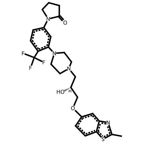 Cc1nc2cc(OC[C@H](O)CN3CCN(c4cc(N5CCCC5=O)ccc4C(F)(F)F)CC3)ccc2s1